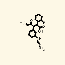 C=CC(=O)C(=C(C(=O)O)c1ccccc1F)c1cccc(NC=NN)c1